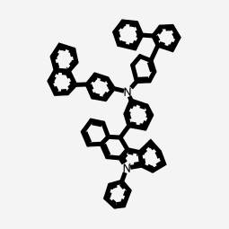 C1=CC2=Cc3c(c4ccccc4n3-c3ccccc3)C(c3cccc(N(C4=CC=C(c5ccccc5-c5ccccc5)CC4)c4ccc(-c5cccc6ccccc56)cc4)c3)C2C=C1